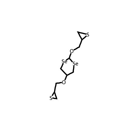 C1[Se]C(OCC2CS2)[Se]CC1OCC1CS1